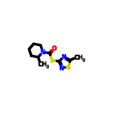 Cc1nc(SC(=O)N2CCCCC2C)ns1